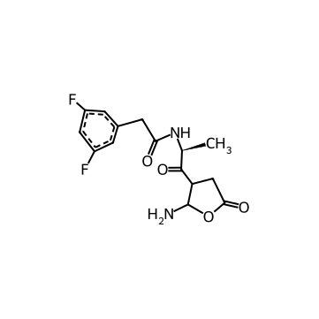 C[C@H](NC(=O)Cc1cc(F)cc(F)c1)C(=O)C1CC(=O)OC1N